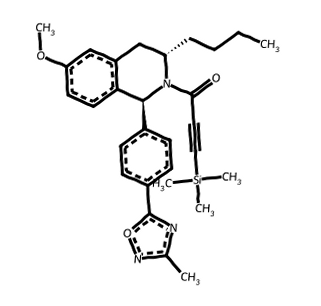 CCCC[C@H]1Cc2cc(OC)ccc2[C@H](c2ccc(-c3nc(C)no3)cc2)N1C(=O)C#C[Si](C)(C)C